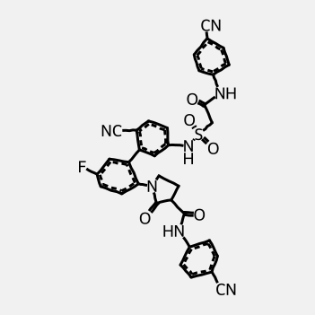 N#Cc1ccc(NC(=O)CS(=O)(=O)Nc2ccc(C#N)c(-c3cc(F)ccc3N3CCC(C(=O)Nc4ccc(C#N)cc4)C3=O)c2)cc1